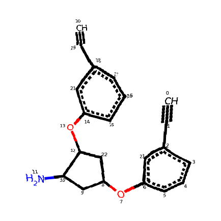 C#Cc1cccc(OC2CC(N)C(Oc3cccc(C#C)c3)C2)c1